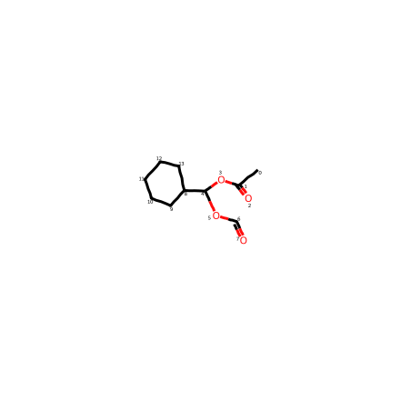 CC(=O)OC(OC=O)C1CCCCC1